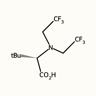 CC(C)(C)[C@@H](C(=O)O)N(CC(F)(F)F)CC(F)(F)F